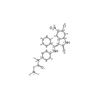 CN(C)CC(=O)N(C)c1ccc(N/C(=C2\C(=O)Nc3cc(Cl)c([N+](=O)[O-])cc32)c2ccccc2)cc1